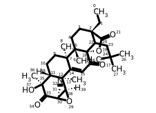 CC[C@@]12CC[C@@]3(C)[C@]4(C)CC[C@@H]5[C@@](C)(C4=CC(=O)[C@]3(OC1=O)C2CC(C)(C)C)[C@H]1O[C@@]1(C#N)C(=O)[C@@]5(C)O